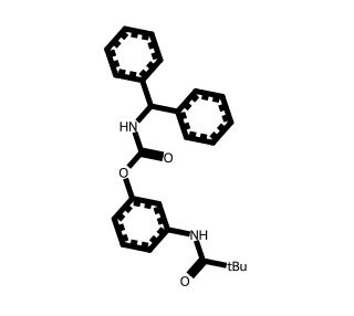 CC(C)(C)C(=O)Nc1cccc(OC(=O)NC(c2ccccc2)c2ccccc2)c1